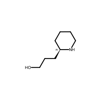 OCCC[C@H]1CCCCN1